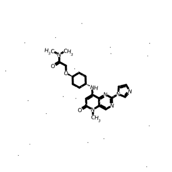 CN(C)C(=O)CO[C@H]1CC[C@H](Nc2cc(=O)n(C)c3cnc(-n4ccnc4)nc23)CC1